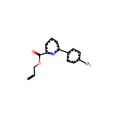 C=CCOC(=O)c1cccc(-c2ccc(C(F)(F)F)cc2)n1